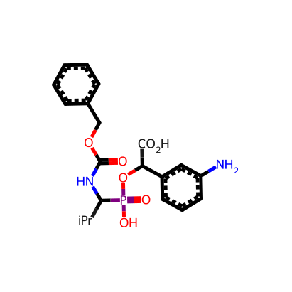 CC(C)C(NC(=O)OCc1ccccc1)P(=O)(O)OC(C(=O)O)c1cccc(N)c1